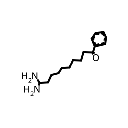 NC(N)CCCCCCCCC(=O)c1ccccc1